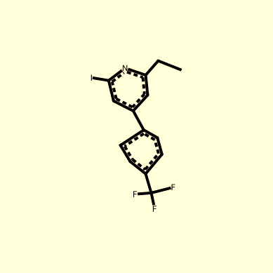 CCc1cc(-c2ccc(C(F)(F)F)cc2)cc(I)n1